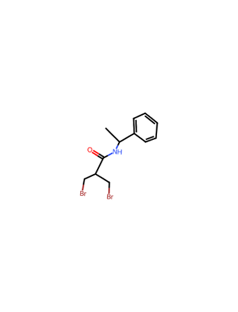 CC(NC(=O)C(CBr)CBr)c1ccccc1